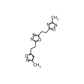 Cc1cc(CCc2nnc(CCc3nc(C)no3)o2)on1